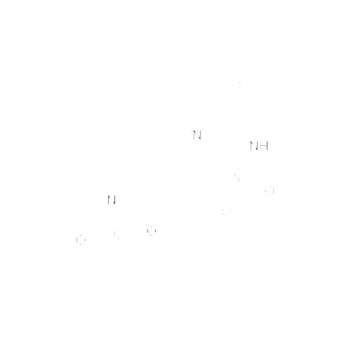 CN(C1=CCN2C(=O)NS(=O)(=O)C2=C1)S(C)(=O)=O